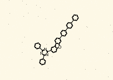 c1ccc(-c2ccc(-c3ccc(-c4ccc5c(c4)oc4ccc(-c6nc(-c7ccccc7)nc(-c7ccccc7)n6)cc45)cc3)cc2)cc1